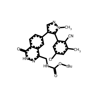 Cc1cc(Cl)cc(-c2c(-c3ccc4c(=O)[nH]nc(CNC(=O)OC(C)(C)C)c4c3)cnn2C)c1C#N